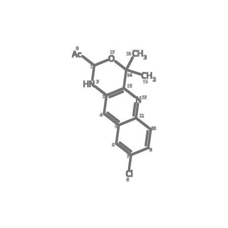 CC(=O)C1Nc2cc3cc(Cl)ccc3nc2C(C)(C)O1